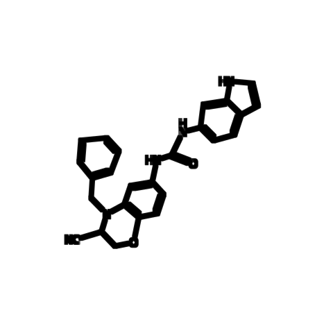 N#CC1COc2ccc(NC(=O)Nc3ccc4cc[nH]c4c3)cc2N1Cc1ccccc1